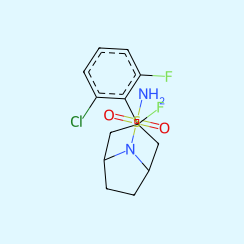 NS(=O)(=O)N1C2CCC1CC(F)(c1c(F)cccc1Cl)C2